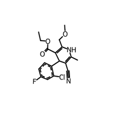 CCOC(=O)C1=C(COC)NC(C)=C(C#N)C1c1ccc(F)cc1Cl